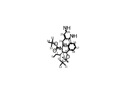 CCC[C@H]([C@H](O[Si](C)(C)C(C)(C)C)c1ccccc1)N(NC/C(C=N)=C/C=N)C(=O)OC(C)(C)C